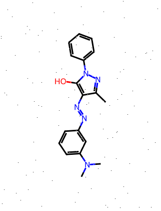 Cc1nn(-c2ccccc2)c(O)c1/N=N/c1cccc(N(C)C)c1